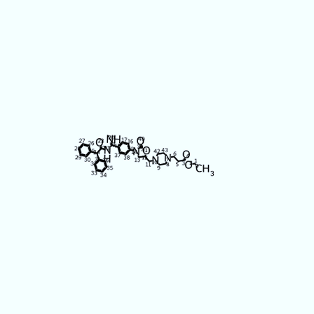 CCOC(=O)CCN1CCN(CC2CN(c3ccc(C(=N)NC(=O)C(c4ccccc4)c4ccccc4)cc3)C(=O)O2)CC1